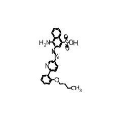 CCCCOc1ccccc1-c1ccc(N=Nc2cc(S(=O)(=O)O)c3ccccc3c2N)cn1